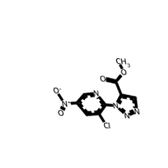 COC(=O)c1cnnn1-c1ncc([N+](=O)[O-])cc1Cl